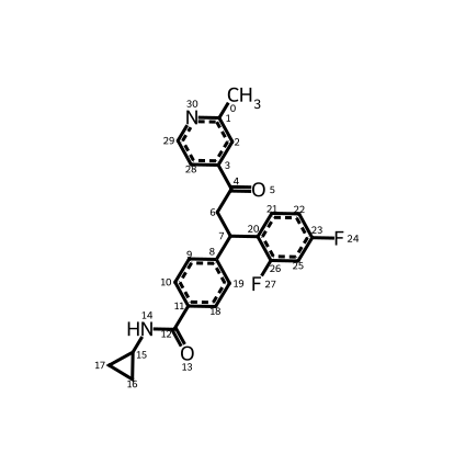 Cc1cc(C(=O)CC(c2ccc(C(=O)NC3CC3)cc2)c2ccc(F)cc2F)ccn1